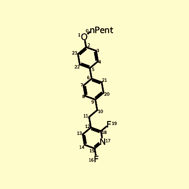 CCCCCOc1ccc(-c2ccc(CCc3ccc(F)nc3F)cc2)cc1